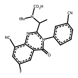 CC(c1nc2c(C#N)cc(F)cc2c(=O)n1-c1cccc(C#N)c1)N(C(=O)O)C(C)(C)C